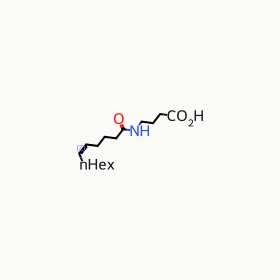 CCCCCC/C=C\CCCC(=O)NCCCC(=O)O